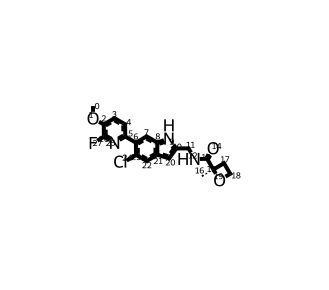 COc1ccc(-c2cc3[nH]c(CNC(=O)[C@@]4(C)CCO4)cc3cc2Cl)nc1F